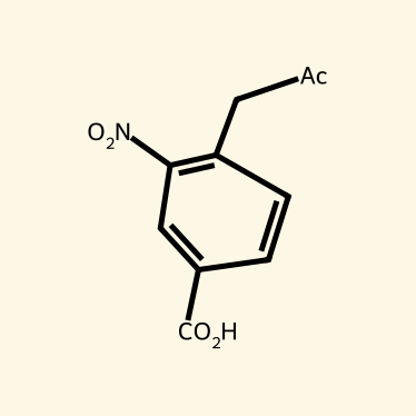 CC(=O)Cc1ccc(C(=O)O)cc1[N+](=O)[O-]